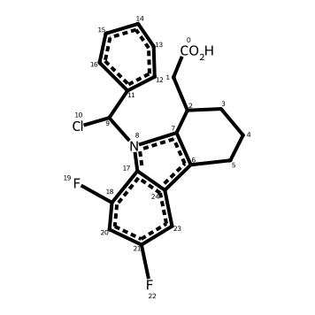 O=C(O)CC1CCCc2c1n(C(Cl)c1ccccc1)c1c(F)cc(F)cc21